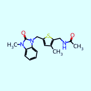 CC(=O)NCc1sc(Cn2c(=O)n(C)c3ccccc32)cc1C